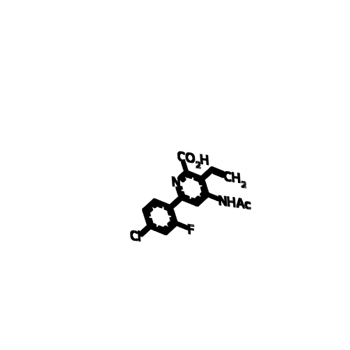 C=Cc1c(NC(C)=O)cc(-c2ccc(Cl)cc2F)nc1C(=O)O